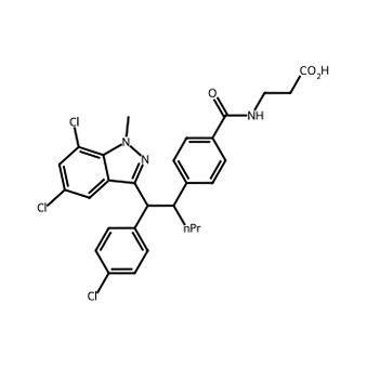 CCCC(c1ccc(C(=O)NCCC(=O)O)cc1)C(c1ccc(Cl)cc1)c1nn(C)c2c(Cl)cc(Cl)cc12